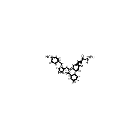 CCCCNC(=O)c1cc2cc(N(Cc3cncn3Cc3ccc(C#N)cc3)C(=O)c3cccc(F)c3)ccc2s1